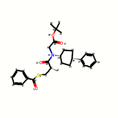 C[C@H](CSC(=O)c1ccccc1)C(=O)N(CC(=O)OC(C)(C)C)[C@H]1CC[C@@H](c2ccccc2)CC1